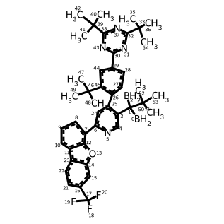 BC(B)(c1cnc(-c2cccc3c2oc2cc(C(F)(F)F)ccc23)cc1-c1ccc(-c2nc(C(C)(C)C)nc(C(C)(C)C)n2)cc1C(C)(C)C)C(C)(C)C